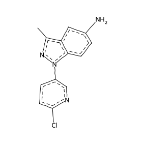 Cc1nn(-c2ccc(Cl)nc2)c2ccc(N)cc12